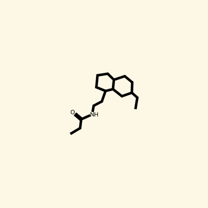 CCC(=O)NCCC1CCCC2CCC(CC)CC12